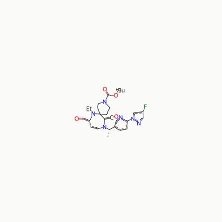 CCN1C(=C=O)C=CN([C@@H](C)c2ccc(-n3cc(F)cn3)nc2)C(=C=O)C12CCN(C(=O)OC(C)(C)C)CC2